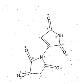 C=C1CC(=O)N(C2=CC(=O)NC2=O)C1=O